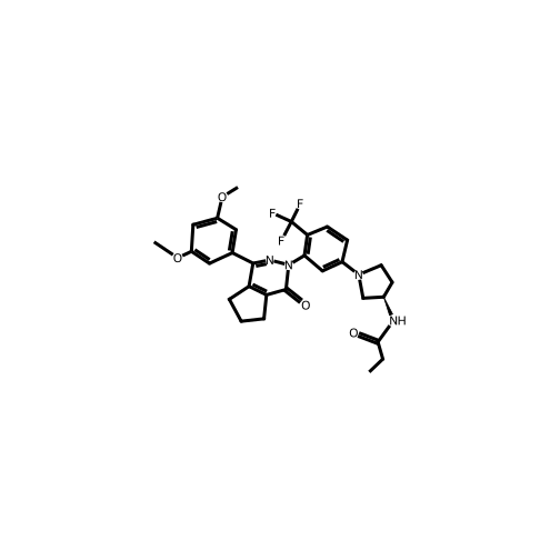 CCC(=O)N[C@@H]1CCN(c2ccc(C(F)(F)F)c(-n3nc(-c4cc(OC)cc(OC)c4)c4c(c3=O)CCC4)c2)C1